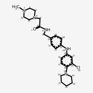 CN1CCN(CC(=O)NCc2ccc(Nc3ccc(N4CCCCC4)c(Cl)c3)cc2)CC1